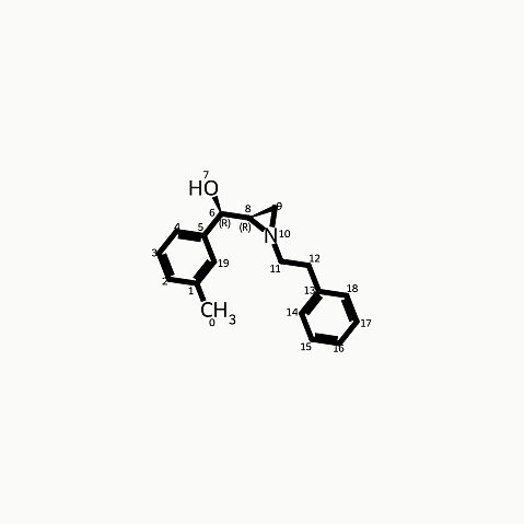 Cc1cccc([C@@H](O)[C@H]2CN2CCc2ccccc2)c1